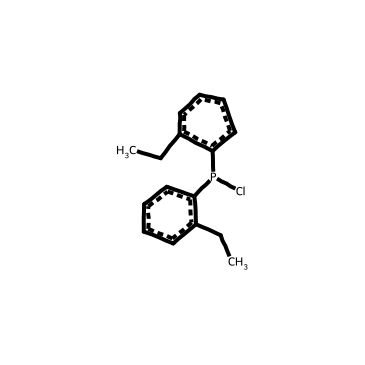 CCc1ccccc1P(Cl)c1ccccc1CC